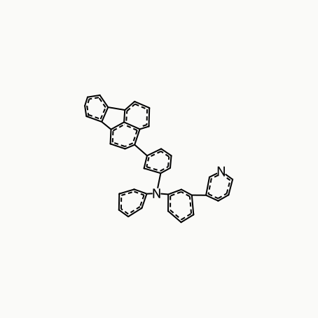 c1ccc(N(c2cccc(-c3cccnc3)c2)c2cccc(-c3ccc4c5c(cccc35)-c3ccccc3-4)c2)cc1